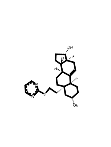 C[C@]12CC=C3[C@@H](CC[C@]4(CCSc5ncccn5)C[C@@H](O)CC[C@]34C)[C@@H]1CC[C@@H]2O